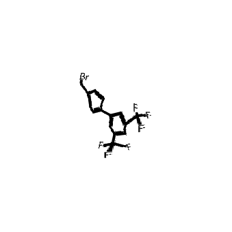 FC(F)(F)c1cc(-c2ccc(CBr)cc2)cc(C(F)(F)F)c1